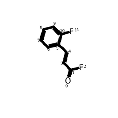 O=C(F)/C=C/c1ccccc1F